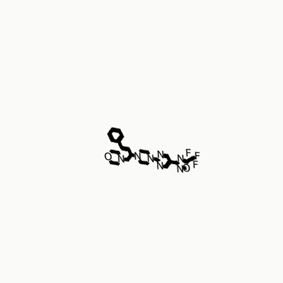 FC(F)(F)c1nc(-c2cnc(N3CCN(C(C=Cc4ccccc4)CN4CCOCC4)CC3)nc2)no1